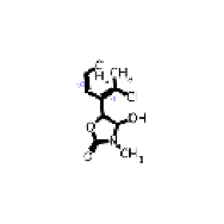 C/C=C\C(=C(/C)Cl)C1OC(=O)N(C)C1O